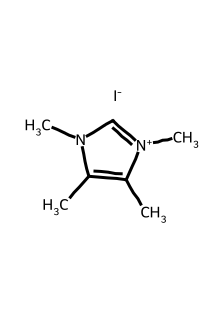 Cc1c(C)[n+](C)cn1C.[I-]